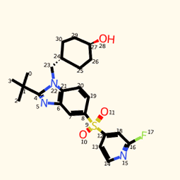 CC(C)(C)c1nc2cc(S(=O)(=O)c3ccnc(F)c3)ccc2n1C[C@H]1CC[C@H](O)CC1